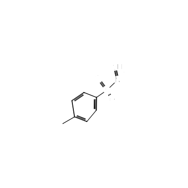 Cc1ccc(S(=O)(=O)N=[SH2])cc1